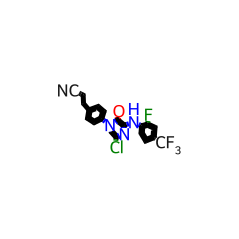 N#CCCc1ccc(-n2cc(Cl)nc(Nc3ccc(C(F)(F)F)cc3F)c2=O)cc1